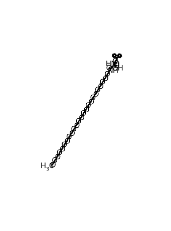 COCCOCCOCCOCCOCCOCCOCCOCCOCCOCCOCCOCCOCCOCCOCCOCCOCCOCCOCCOCCOCCOCCOCCOCCNC(=O)CC[C@H](NC(=O)OCC1c2ccccc2-c2ccccc21)C(=O)O